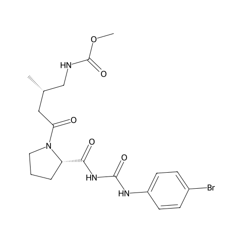 COC(=O)NC[C@@H](C)CC(=O)N1CCC[C@H]1C(=O)NC(=O)Nc1ccc(Br)cc1